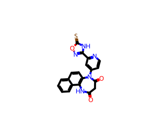 O=C1CC(=O)N(c2ccnc(-c3noc(=S)[nH]3)c2)c2ccc3ccccc3c2N1